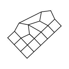 CC12C34C5CC3C3CC6C7C8C9CC%10CC%11C5C15C%11C%109C85C72C364